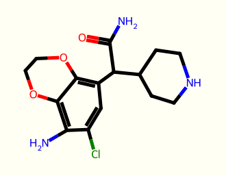 NC(=O)C(c1cc(Cl)c(N)c2c1OCCO2)C1CCNCC1